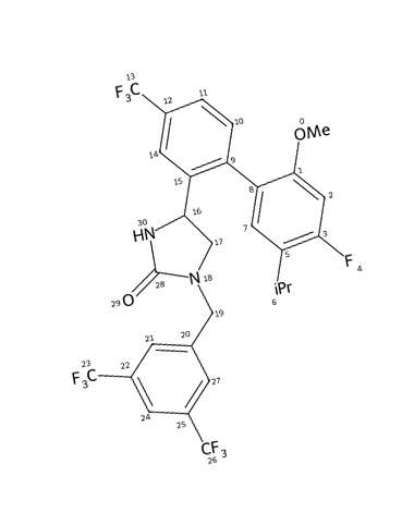 COc1cc(F)c(C(C)C)cc1-c1ccc(C(F)(F)F)cc1C1CN(Cc2cc(C(F)(F)F)cc(C(F)(F)F)c2)C(=O)N1